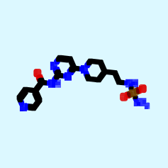 NS(=O)(=O)NCCC1CCN(c2ccnc(NC(=O)c3ccncc3)n2)CC1